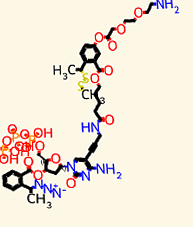 CSSC(C)c1ccc(OC(=O)COCCOCCN)cc1C(=O)OCCCCC(=O)NCC#Cc1cn([C@H]2CC(OC(=O)c3ccccc3C(C)N=[N+]=[N-])[C@@H](COP(=O)(O)OP(=O)(O)OP(=O)(O)O)O2)c(=O)nc1N